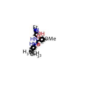 CCn1cc(CC(=O)NC(C(=O)Nc2ccc([Si](C)(C)C)cc2)c2ccc(OC)cc2)c(O)n1